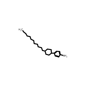 CCCCCCCCCCCCC1CCC(c2ccc(N)cc2)CC1